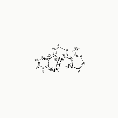 CC(C)c1cccnc1[C@@H]1CCC[C@H](c2ncccc2C(C)C)N1